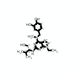 CCn1nnc2c(N(C)Cc3ccc(O)c(O)c3)nc(N[C@@H](CO)C(C)C)nc21